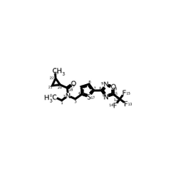 CCN(Cc1ccc(-c2noc(C(F)(F)F)n2)s1)C(=O)C1CC1C